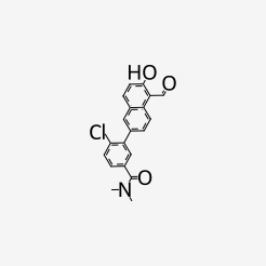 CN(C)C(=O)c1ccc(Cl)c(-c2ccc3c(C=O)c(O)ccc3c2)c1